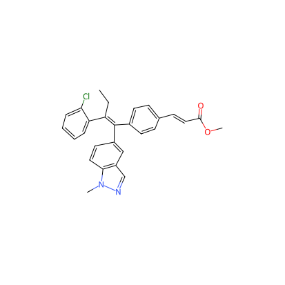 CC/C(=C(\c1ccc(C=CC(=O)OC)cc1)c1ccc2c(cnn2C)c1)c1ccccc1Cl